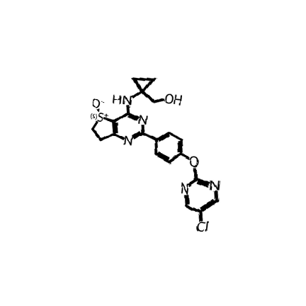 [O-][S@+]1CCc2nc(-c3ccc(Oc4ncc(Cl)cn4)cc3)nc(NC3(CO)CC3)c21